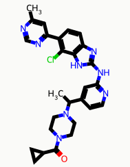 Cc1cc(-c2ccc3nc(Nc4cc(C(C)N5CCN(C(=O)C6CC6)CC5)ccn4)[nH]c3c2Cl)ncn1